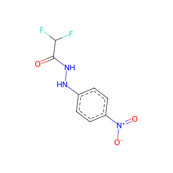 O=C(NNc1ccc([N+](=O)[O-])cc1)C(F)F